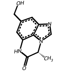 C[C@@H]1C(=O)Nc2cc(CO)cc3ncn1c23